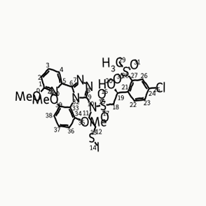 COc1cccc(-c2nnc(N(CCSI)S(=O)(=O)C[C@@H](O)c3ccc(Cl)cc3S(C)(=O)=O)n2-c2c(OC)cccc2OC)n1